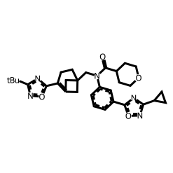 CC(C)(C)c1noc(C2=C3CC(CN(C(=O)C4CCOCC4)c4cccc(-c5nc(C6CC6)no5)c4)(CC2)C3)n1